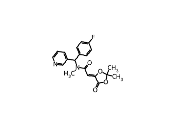 CN(C(=O)C=C1OC(C)(C)OC1=O)C(c1ccc(F)cc1)c1cccnc1